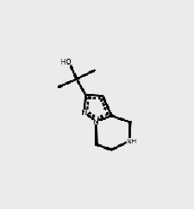 CC(C)(O)c1cc2n(n1)CCNC2